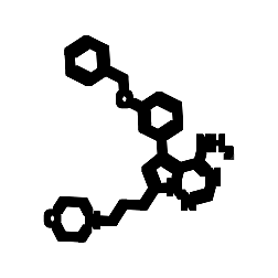 Nc1ncnn2c(CCCN3CCOCC3)cc(-c3cccc(OCc4ccccc4)c3)c12